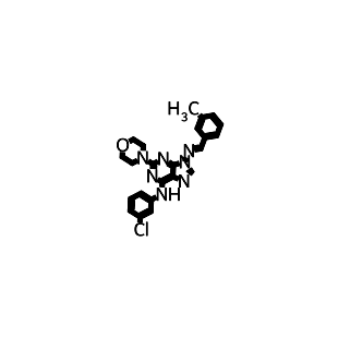 Cc1cccc(C=Nn2cnc3c(Nc4cccc(Cl)c4)nc(N4CCOCC4)nc32)c1